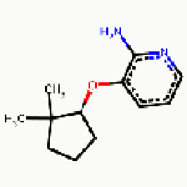 CC1(C)CCC[C@@H]1Oc1cccnc1N